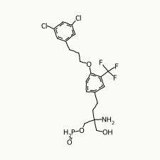 NC(CO)(CCc1ccc(OCCCc2cc(Cl)cc(Cl)c2)c(C(F)(F)F)c1)CO[PH2]=O